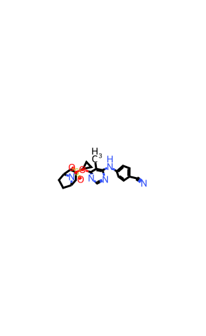 Cc1c(Nc2ccc(C#N)cc2)ncnc1OC1CC2CCC(C1)N2S(=O)(=O)C1CC1